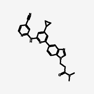 CN(C)C(=O)CCn1cnc2cc(-c3cc(C4CC4)cc(Nc4cc(C#N)ccn4)n3)ccc21